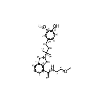 C=C(NCCOC)c1cccc2c1CN(C(C)(C)CCc1ccc(O)c(OC)c1)C2